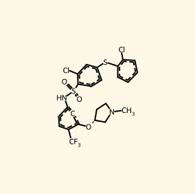 CN1CC[C@@H](Oc2cc(NS(=O)(=O)c3ccc(Sc4ccccc4Cl)cc3Cl)ccc2C(F)(F)F)C1